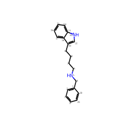 c1ccc(CNCCCCc2c[nH]c3ccccc23)cc1